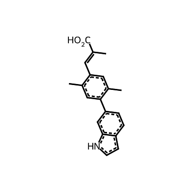 C/C(=C\c1cc(C)c(-c2ccc3cc[nH]c3c2)cc1C)C(=O)O